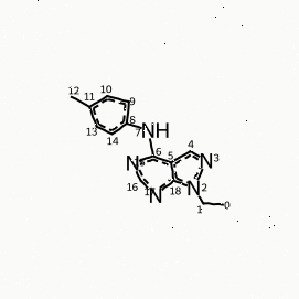 CCn1ncc2c(Nc3ccc(C)cc3)ncnc21